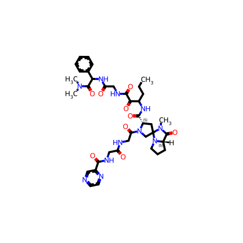 CCCC(NC(=O)[C@@H]1CC2(CN1C(=O)CNC(=O)CNC(=O)c1cnccn1)N(C)C(=O)[C@@H]1CCCN12)C(=O)C(=O)NCC(=O)NC(C(=O)N(C)C)c1ccccc1